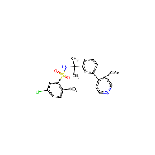 COc1cnccc1-c1cccc(C(C)(C)NS(=O)(=O)c2cc(Cl)ccc2[N+](=O)[O-])c1